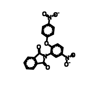 O=C1c2ccccc2C(=O)N1c1cc([N+](=O)[O-])ccc1Oc1ccc([N+](=O)[O-])cc1